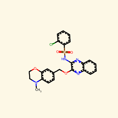 CN1CCOc2cc(COc3nc4ccccc4nc3NS(=O)(=O)c3ccccc3Cl)ccc21